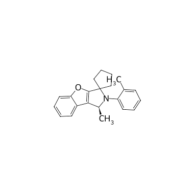 Cc1ccccc1N1[C@@H](C)c2c(oc3ccccc23)C12CCCC2